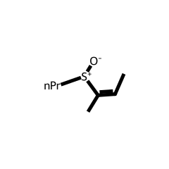 C/C=C(/C)[S+]([O-])CCC